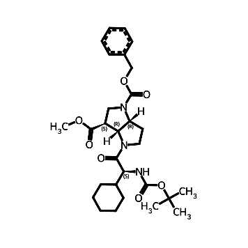 COC(=O)[C@H]1CN(C(=O)OCc2ccccc2)[C@@H]2CCN(C(=O)[C@@H](NC(=O)OC(C)(C)C)C3CCCCC3)[C@H]12